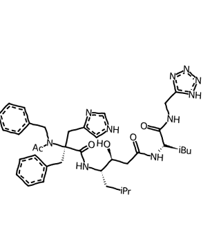 CC[C@H](C)[C@H](NC(=O)C[C@H](O)[C@H](CC(C)C)NC(=O)[C@](Cc1ccccc1)(Cc1c[nH]cn1)N(Cc1ccccc1)C(C)=O)C(=O)NCc1nnn[nH]1